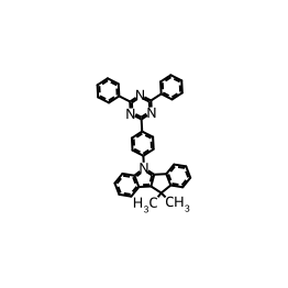 CC1(C)c2ccccc2-c2c1c1ccccc1n2-c1ccc(-c2nc(-c3ccccc3)nc(-c3ccccc3)n2)cc1